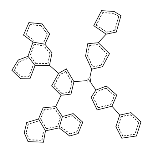 c1ccc(-c2ccc(N(c3ccc(-c4ccccc4)cc3)c3cc(-c4cc5ccccc5c5ccccc45)cc(-c4cc5ccccc5c5ccccc45)c3)cc2)cc1